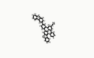 N#Cc1cc(-c2ccccc2)cc(-c2cc(-c3ccc4sc5ccccc5c4c3)ccc2-c2ccc3c(c2)oc2ccccc23)c1